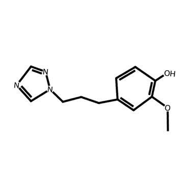 COc1cc(CCCn2cncn2)ccc1O